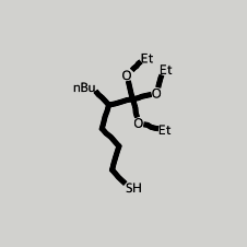 CCCCC(CCCS)C(OCC)(OCC)OCC